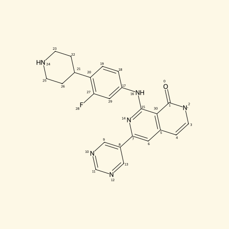 O=C1[N]C=Cc2cc(-c3cncnc3)nc(Nc3ccc(C4CCNCC4)c(F)c3)c21